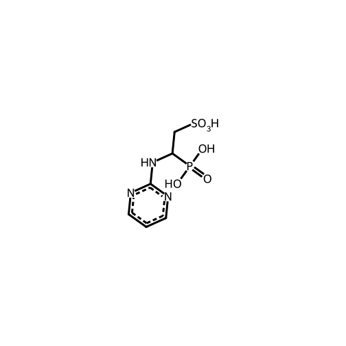 O=P(O)(O)C(CS(=O)(=O)O)Nc1ncccn1